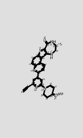 C#Cc1cc(-c2ccc3c(ccc4sc5c(c43)NC[C@@H](C)NC5=O)n2)cc(N2CCC(OC)CC2)n1